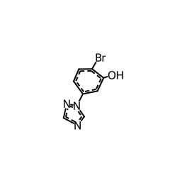 Oc1cc(-n2cncn2)ccc1Br